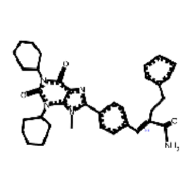 Cn1c(-c2ccc(/C=C(\CCc3ccccc3)C(N)=O)cc2)nc2c(=O)n(C3CCCCC3)c(=O)n(C3CCCCC3)c21